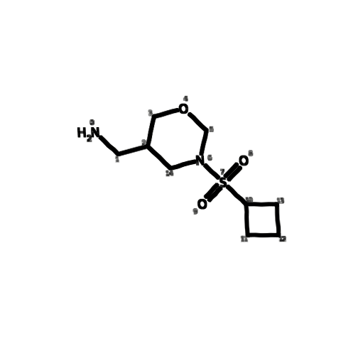 NCC1COCN(S(=O)(=O)C2CCC2)C1